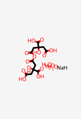 O.O.O.O=C(O)CC(O)(CC(=O)OC(=O)CC(O)(CC(=O)O)C(=O)O)C(=O)O.[NaH]